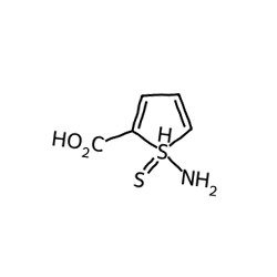 N[SH]1(=S)C=CC=C1C(=O)O